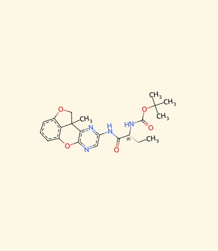 CC[C@@H](NC(=O)OC(C)(C)C)C(=O)Nc1cnc2c(n1)C1(C)COc3cccc(c31)O2